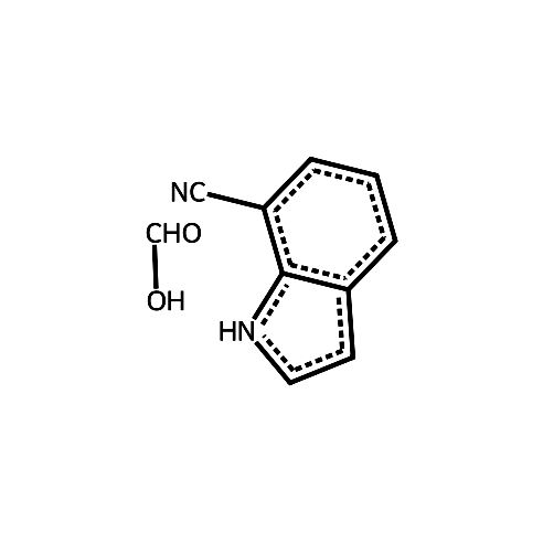 N#Cc1cccc2cc[nH]c12.O=CO